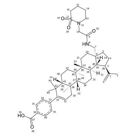 C=C(C)[C@@H]1CC[C@]2(CNC(=O)CN3CCCCS3(=O)=O)CC[C@]3(C)[C@H](CC[C@@H]4[C@@]5(C)CC=C(c6ccc(C(=O)O)cc6)C(C)(C)[C@@H]5CC[C@]43C)[C@@H]12